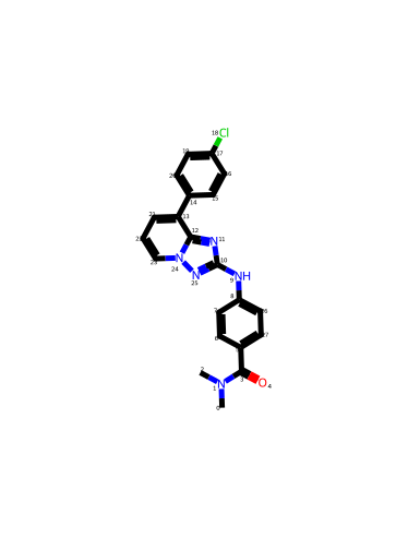 CN(C)C(=O)c1ccc(Nc2nc3c(-c4ccc(Cl)cc4)cccn3n2)cc1